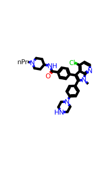 CCCN1CCC(NC(=O)c2ccc(-c3c(-c4ccc(N5CCNCC5)cc4)n(C)c4nccc(Cl)c34)cc2)CC1